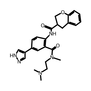 CN(C)CCN(C)C(=O)c1cc(-c2cn[nH]c2)ccc1NC(=O)C1COc2ccccc2C1